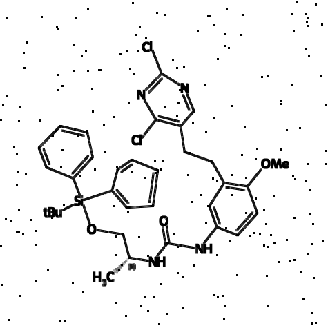 COc1ccc(NC(=O)N[C@H](C)CO[Si](c2ccccc2)(c2ccccc2)C(C)(C)C)cc1CCc1cnc(Cl)nc1Cl